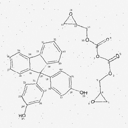 O=C(OCC1CO1)OC(=O)OCC1CO1.Oc1ccc(C2(c3ccc(O)cc3)c3ccccc3-c3ccccc32)cc1